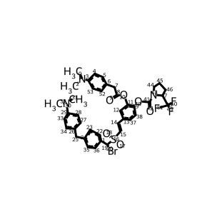 CN(C)c1ccc(CC(=O)Oc2cc(/C=C/S(=O)(=O)C(Br)c3ccc(Cc4ccc(N(C)C)cc4)cc3)ccc2OC(=O)N2CCCC2C(F)(F)F)cc1